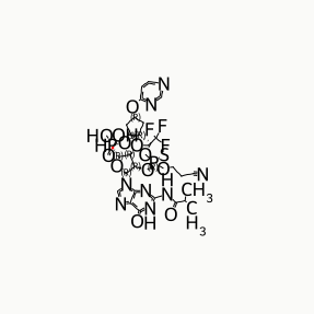 CC(C)C(=O)Nc1nc2c(ncn2[C@@H]2O[C@H](CO)[C@@H](OCC(F)(F)F)[C@H]2O[P@@](=S)(OCCC#N)OC[C@H]2C[C@@H](Oc3ccncn3)C[C@@H]2O[PH](=O)O)c(=O)[nH]1